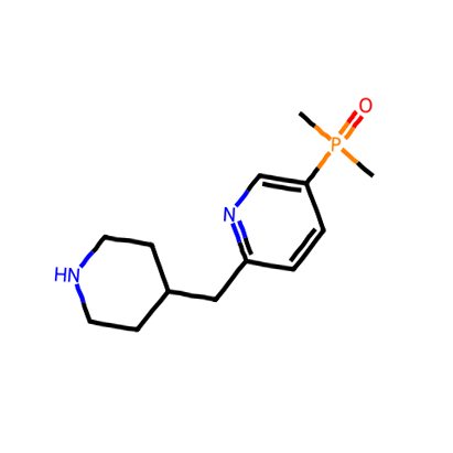 CP(C)(=O)c1ccc(CC2CCNCC2)nc1